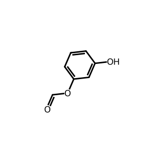 O=COc1cccc(O)c1